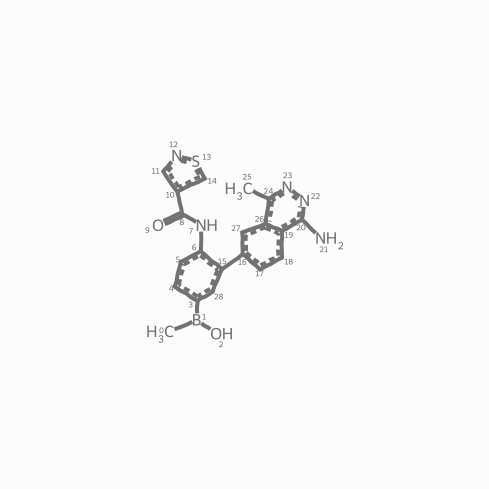 CB(O)c1ccc(NC(=O)c2cnsc2)c(-c2ccc3c(N)nnc(C)c3c2)c1